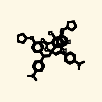 CN(C)c1ccc(C(=CC2(C=C(c3ccc(OC4CCCC4)cc3)c3ccc(N(C)C)cc3)OC(=O)c3c(Cl)c(Cl)c(Cl)c(Cl)c32)c2ccc(OC3CCCC3)cc2)cc1